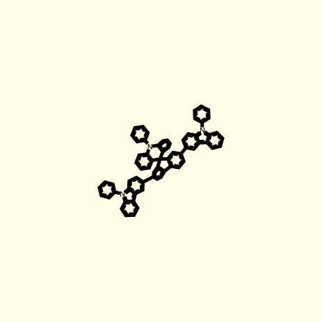 c1ccc(N2c3ccccc3C3(c4cc(-c5ccc6c(c5)c5ccccc5n6-c5ccccc5)ccc4-c4ccc(-c5ccc6c(c5)c5ccccc5n6-c5ccccc5)cc43)c3ccccc32)cc1